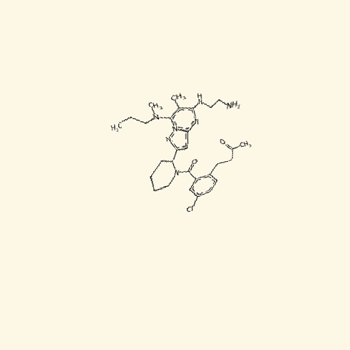 CCCN(C)c1c(C)c(NCCN)nc2cc(C3CCCCN3C(=O)c3cc(Cl)ccc3CCC(C)=O)nn12